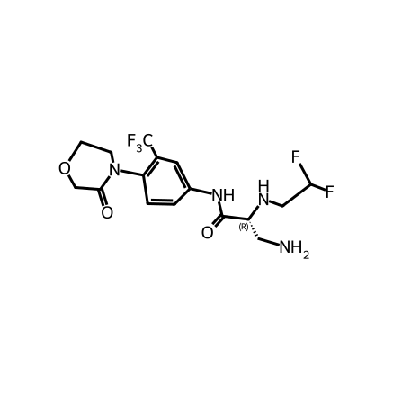 NC[C@@H](NCC(F)F)C(=O)Nc1ccc(N2CCOCC2=O)c(C(F)(F)F)c1